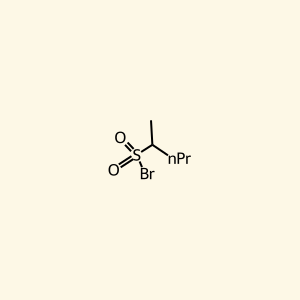 CCCC(C)S(=O)(=O)Br